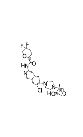 C[C@@]1(N2CCN(c3cc4cc(NC(=O)[C@@H]5CCC(F)(F)CO5)ncc4cc3Cl)CC2)COC[C@@H]1O